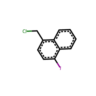 ClCc1ccc(I)c2ccccc12